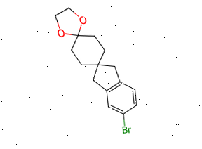 Brc1ccc2c(c1)CC1(CCC3(CC1)OCCO3)C2